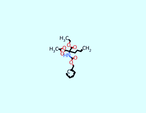 C=CCCC(NC(=O)OCc1ccccc1)(C(=O)OCC)C1OC(C)O1